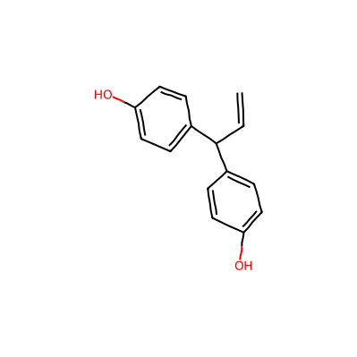 C=CC(c1ccc(O)cc1)c1ccc(O)cc1